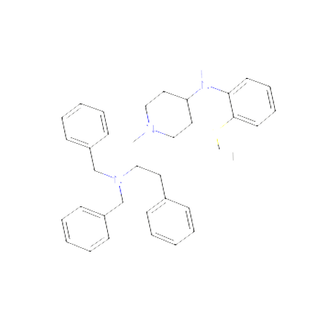 CSc1ccccc1NC1CCN(C[C@H](Cc2ccccc2)N(Cc2ccccc2)Cc2ccccc2)CC1